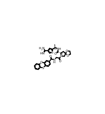 C[C@@H](NC(=O)[C@@H]1CC2(CN1C(=O)CNC(=O)c1ccc3c(c1)Oc1ccccc1S3)OCCO2)c1cc(C(=N)N)cs1